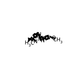 COCCN1CCN(c2cc(-n3ncc4ccc(C5(C#N)CC6(CC6)C5C)cc43)ncn2)CC1